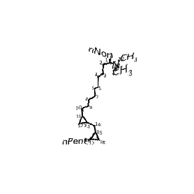 CCCCCCCCCC(CCCCCCCCCC1CC1CC1C[C@H]1CCCCC)N(C)C